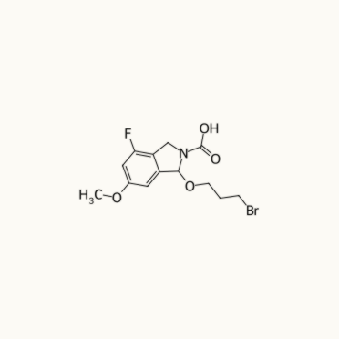 COc1cc(F)c2c(c1)C(OCCCBr)N(C(=O)O)C2